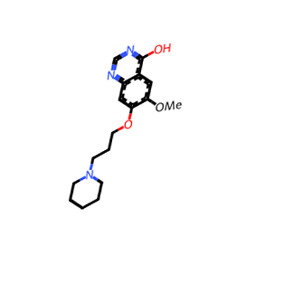 COc1cc2c(O)ncnc2cc1OCCCN1CCCCC1